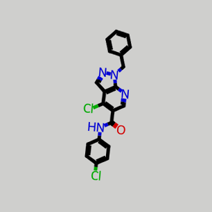 O=C(Nc1ccc(Cl)cc1)c1cnc2c(cnn2Cc2ccccc2)c1Cl